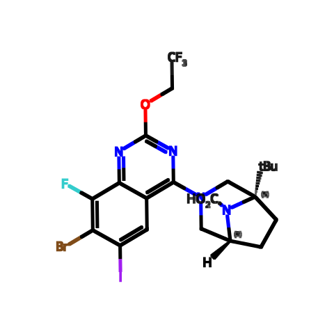 CC(C)(C)[C@@]12CC[C@H](CN(c3nc(OCC(F)(F)F)nc4c(F)c(Br)c(I)cc34)C1)N2C(=O)O